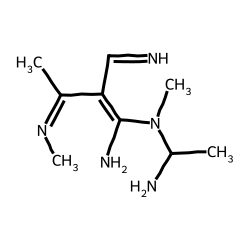 C/N=C(C)\C(C=N)=C(/N)N(C)C(C)N